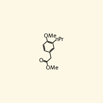 CCCc1cc(CC(=O)OC)ccc1OC